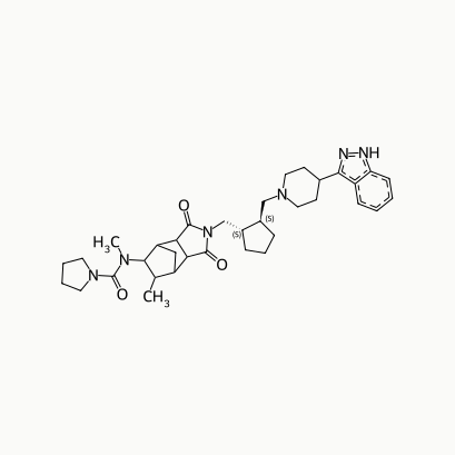 CC1C2CC(C3C(=O)N(C[C@H]4CCC[C@@H]4CN4CCC(c5n[nH]c6ccccc56)CC4)C(=O)C23)C1N(C)C(=O)N1CCCC1